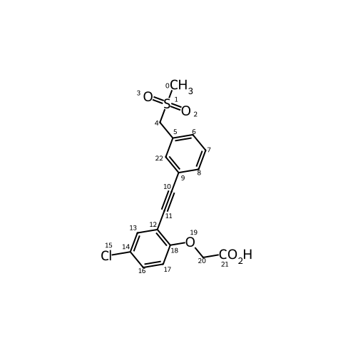 CS(=O)(=O)Cc1cccc(C#Cc2cc(Cl)ccc2OCC(=O)O)c1